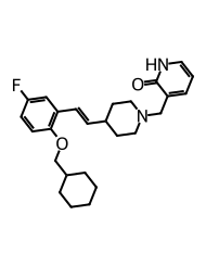 O=c1[nH]cccc1CN1CCC(C=Cc2cc(F)ccc2OCC2CCCCC2)CC1